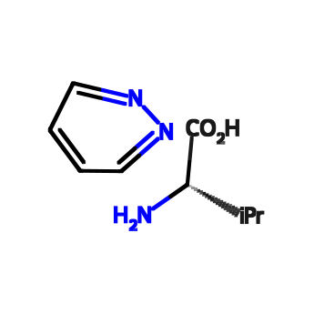 CC(C)[C@H](N)C(=O)O.c1ccnnc1